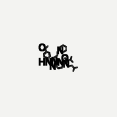 CC(=O)c1ccc(Nc2nc3ccc(N(CCC(C)C)C(=O)C(C)C)nc3n2CCCN2CCCCC2)cc1